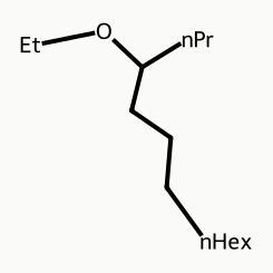 [CH2]COC(CCC)CCCCCCCCC